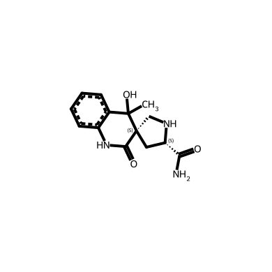 CC1(O)c2ccccc2NC(=O)[C@@]12CN[C@H](C(N)=O)C2